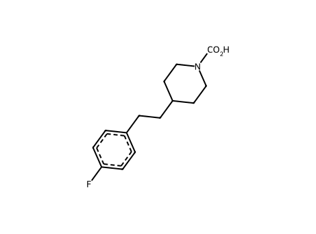 O=C(O)N1CCC(CCc2ccc(F)cc2)CC1